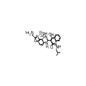 CC(C)CNn1c(=O)c(C2=NS(O)(O)c3c(ccc4oc(CN)nc34)N2)c(O)c2ccccc21